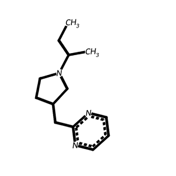 CCC(C)N1CCC(Cc2ncccn2)C1